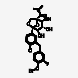 CCOc1ccc(Cc2cc([C@]34OC[C@](C(=O)N(C)C)(O3)[C@@H](O)[C@H](O)[C@H]4O)ccc2Cl)cc1F